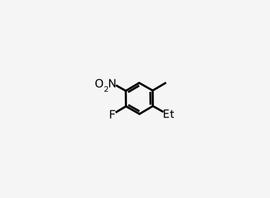 CCc1cc(F)c([N+](=O)[O-])cc1C